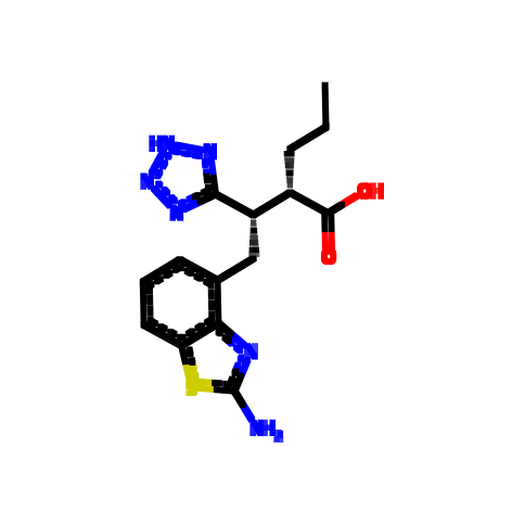 CCC[C@H](C(=O)O)[C@H](Cc1cccc2sc(N)nc12)c1nn[nH]n1